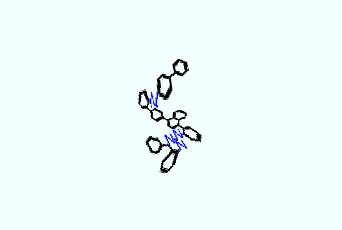 C1=CC(c2nc(-n3c4ccccc4c4c5ccccc5c(-c5ccc6c7ccccc7n(-c7ccc(-c8ccccc8)cc7)c6c5)cc43)nc3ccccc23)=CCC1